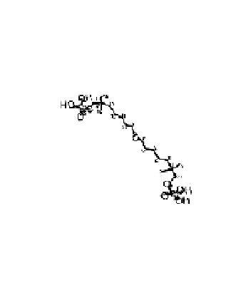 CC(C)(CCCCCOCCCCCC(C)(C)COP(=O)(O)O)COP(=O)(O)O